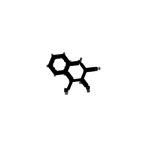 O=C1N=c2ccccc2=C(Br)C1=O